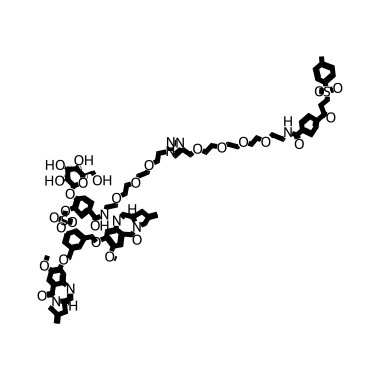 C=C1C[C@H]2C=Nc3cc(OCc4cc(COc5cc6c(cc5OC)C(=O)N5CC(=C)C[C@H]5C=N6)cc(OS(=O)(=O)Oc5cc(C(=O)NCCOCCOCCOCCn6cc(COCCOCCOCCOCCNC(=O)c7ccc(C(=O)CCS(=O)(=O)c8ccc(C)cc8)cc7)nn6)ccc5OC5O[C@H](CO)[C@H](O)[C@H](O)[C@H]5O)c4)c(OC)cc3C(=O)N2C1